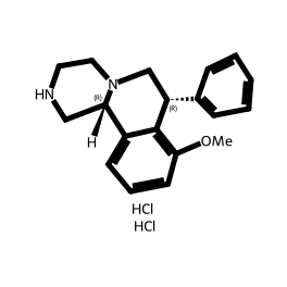 COc1cccc2c1[C@@H](c1ccccc1)CN1CCNC[C@@H]21.Cl.Cl